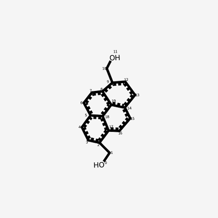 OCc1ccc2ccc3c(CO)ccc4ccc1c2c43